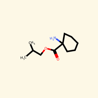 CC(C)COC(=O)C1(N)CCCCC1